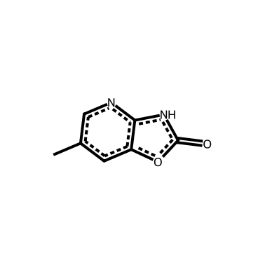 Cc1cnc2[nH]c(=O)oc2c1